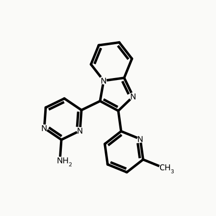 Cc1cccc(-c2nc3ccccn3c2-c2ccnc(N)n2)n1